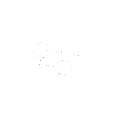 O=[N+]([O-])c1[c]ccc(C2CC2)c1Nc1ccccc1